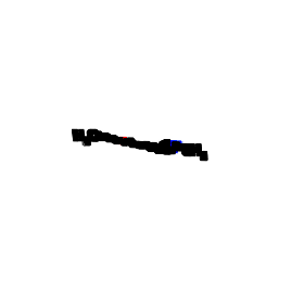 CCCCCCCCCCCCCCCCCc1cc[n+](CCCC)cc1